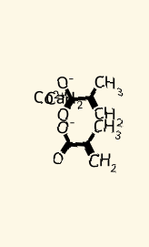 C=C(C)C(=O)[O-].C=C(C)C(=O)[O-].[CaH2].[Co+2]